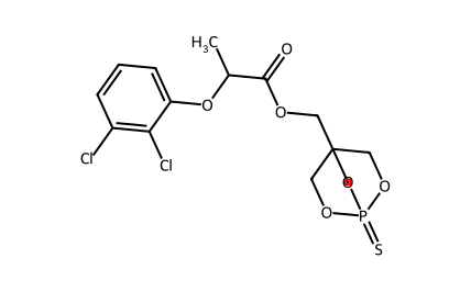 CC(Oc1cccc(Cl)c1Cl)C(=O)OCC12COP(=S)(OC1)OC2